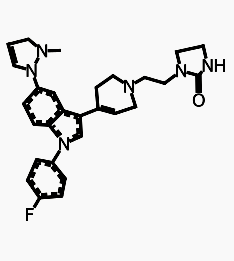 CN1CC=CN1c1ccc2c(c1)c(C1=CCN(CCN3CCNC3=O)CC1)cn2-c1ccc(F)cc1